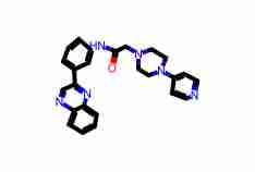 O=C(CN1CCN(c2ccncc2)CC1)Nc1cccc(-c2cnc3ccccc3n2)c1